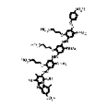 CC(=O)Nc1cc(N=Nc2cc(SCCCS(=O)(=O)O)c(N=Nc3cc(OCCCS(=O)(=O)O)c(N=Nc4c(C)c(C#N)c5nc6cc(S(=O)(=O)O)cc(C)c6n5c4O)cc3NC(C)=O)cc2NC(C)=O)c(SCCCS(=O)(=O)O)cc1N=Nc1ccc(S(=O)(=O)O)cc1